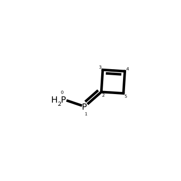 P/P=C1\C=CC1